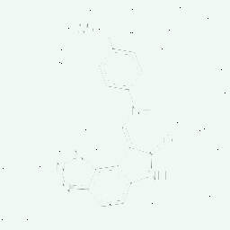 COc1ccc(NC=C2C(=O)Nc3ccc4nn[nH]c4c32)cc1